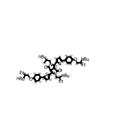 CCCCC(C)CN1C(=O)C2=C(c3ccc(-c4ccc(OCC(CC)CCCC)cc4)s3)N(CC(CC)CCCC)C(=O)C2=C1c1ccc(-c2ccc(OCC(CC)CCCC)cc2)s1